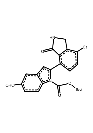 CCc1ccc(-c2cc3cc(C=O)ccc3n2C(=O)OC(C)(C)C)c2c1CNC2=O